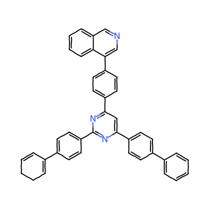 C1=CC(c2ccc(-c3nc(-c4ccc(-c5ccccc5)cc4)cc(-c4ccc(-c5cncc6ccccc56)cc4)n3)cc2)=CCC1